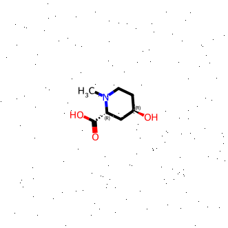 CN1CC[C@@H](O)C[C@@H]1C(=O)O